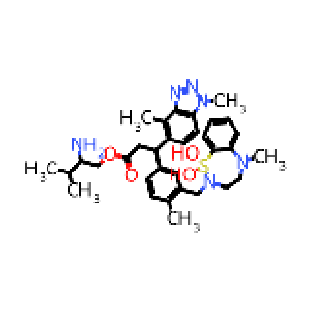 Cc1ccc(C(CC(=O)OCC(N)C(C)C)c2ccc3c(nnn3C)c2C)cc1CN1CCN(C)c2ccccc2S1(O)O